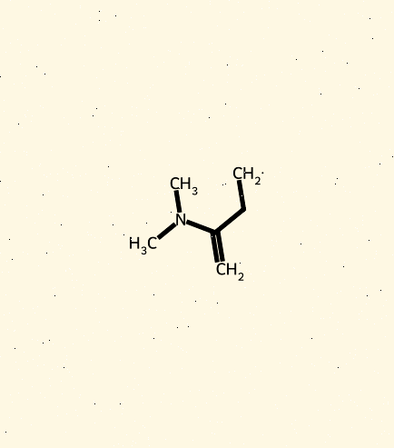 [CH2]CC(=C)N(C)C